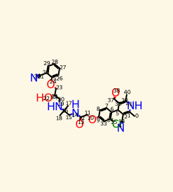 CC1=C(C#N)C(c2ccc(OCC(=O)NCC(C)(C)NC[C@H](O)COc3ccccc3C#N)cc2Cl)C(C=O)=C(C)N1